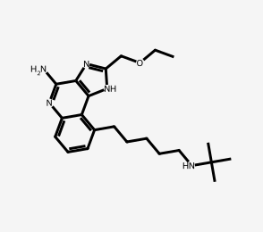 CCOCc1nc2c(N)nc3cccc(CCCCCNC(C)(C)C)c3c2[nH]1